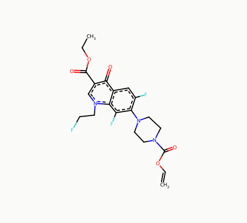 C=COC(=O)N1CCN(c2c(F)cc3c(=O)c(C(=O)OCC)cn(CCF)c3c2F)CC1